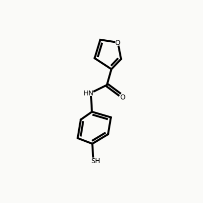 O=C(Nc1ccc(S)cc1)c1ccoc1